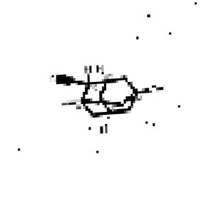 N#C[C@@H]1[C@@H]2C[C@@H]3C[C@H]1C[C@@](O)(C3)C2